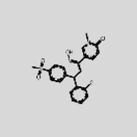 Cn1cc(C(CC(c2ccc(S(C)(=O)=O)cc2)c2ccccc2Cl)=NO)ccc1=O